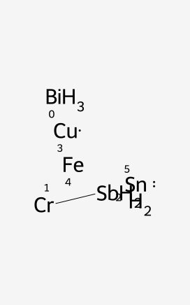 [BiH3].[Cr][SbH2].[Cu].[Fe].[SnH2]